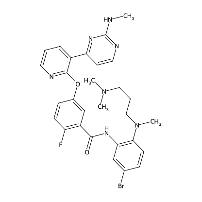 CNc1nccc(-c2cccnc2Oc2ccc(F)c(C(=O)Nc3cc(Br)ccc3N(C)CCCN(C)C)c2)n1